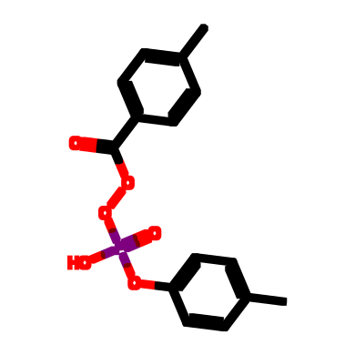 Cc1ccc(OP(=O)(O)OOC(=O)c2ccc(C)cc2)cc1